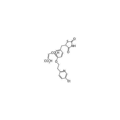 CCc1ccc(CCOc2ccc(CC3SC(=O)NC3=O)cc2)nc1.O=C(O)/C=C\C(=O)O